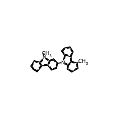 Cc1cccc2c1c1ccccc1n2-c1ccc2c3ccccc3n(C)c2c1